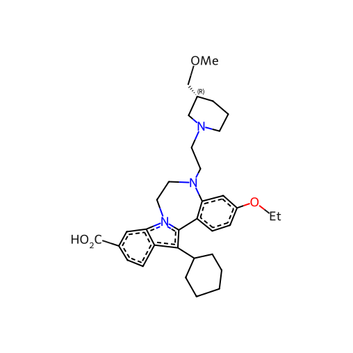 CCOc1ccc2c(c1)N(CCN1CCC[C@@H](COC)C1)CCn1c-2c(C2CCCCC2)c2ccc(C(=O)O)cc21